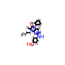 CC(C)CCN1c2nc(N[C@H]3CC[C@H](O)CC3)ncc2N(c2ccccc2)C(=O)C1C